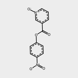 O=C(Oc1ccc([N+](=O)[O-])cc1)c1ccc[n+]([O-])c1